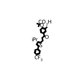 Cc1cc(C(=O)CCc2sc(-c3ccc(C(F)(F)F)cc3)cc2C(C)C)ccc1OC(C)(C)C(=O)O